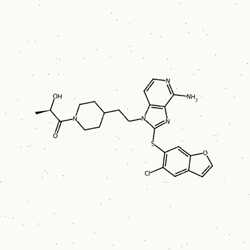 C[C@@H](O)C(=O)N1CCC(CCn2c(Sc3cc4occc4cc3Cl)nc3c(N)nccc32)CC1